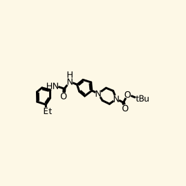 CCc1cccc(NC(=O)Nc2ccc(N3CCN(C(=O)OC(C)(C)C)CC3)cc2)c1